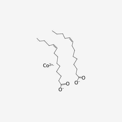 CCCC/C=C\CCCCCCCC(=O)[O-].CCCC/C=C\CCCCCCCC(=O)[O-].[Co+2]